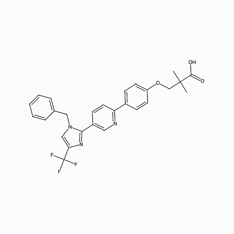 CC(C)(COc1ccc(-c2ccc(-c3nc(C(F)(F)F)cn3Cc3ccccc3)cn2)cc1)C(=O)O